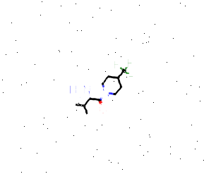 CC(C)[C@H](N)C(=O)N1CCC(C(F)(F)F)CC1